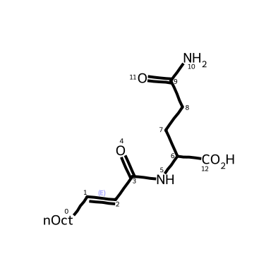 CCCCCCCC/C=C/C(=O)NC(CCC(N)=O)C(=O)O